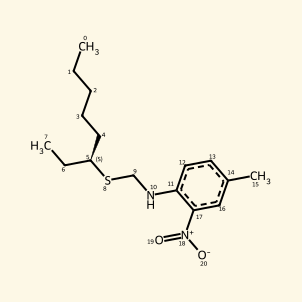 CCCCC[C@H](CC)SCNc1ccc(C)cc1[N+](=O)[O-]